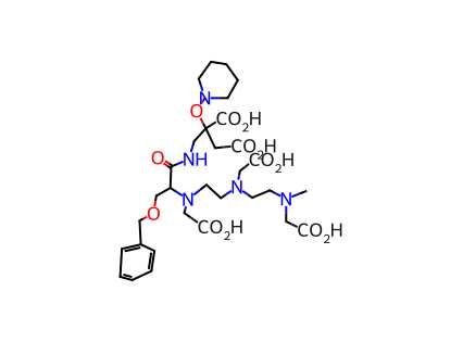 CN(CCN(CCN(CC(=O)O)C(COCc1ccccc1)C(=O)NCC(CC(=O)O)(ON1CCCCC1)C(=O)O)CC(=O)O)CC(=O)O